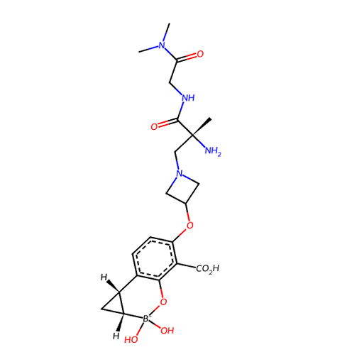 CN(C)C(=O)CNC(=O)[C@](C)(N)CN1CC(Oc2ccc3c(c2C(=O)O)O[B-](O)(O)[C@@H]2C[C@H]32)C1